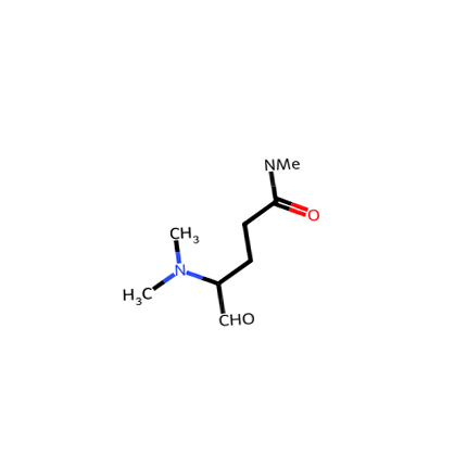 CNC(=O)CCC(C=O)N(C)C